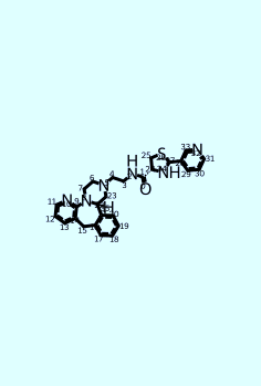 O=C(NCCN1CCN2c3ncccc3Cc3ccccc3[C@H]2C1)[C@@H]1CSC(c2cccnc2)N1